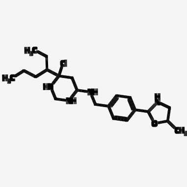 CCCC(CC)C1(Cl)CC(NCc2ccc(C3NCC(C)O3)cc2)NCN1